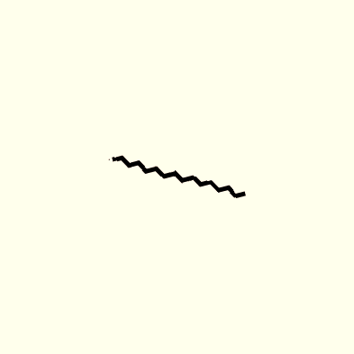 [CH2]CCCCCCC[CH]CCCCCCC